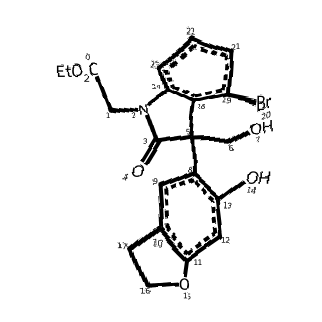 CCOC(=O)CN1C(=O)C(CO)(c2cc3c(cc2O)OCC3)c2c(Br)cccc21